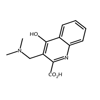 CN(C)Cc1c(C(=O)O)nc2ccccc2c1O